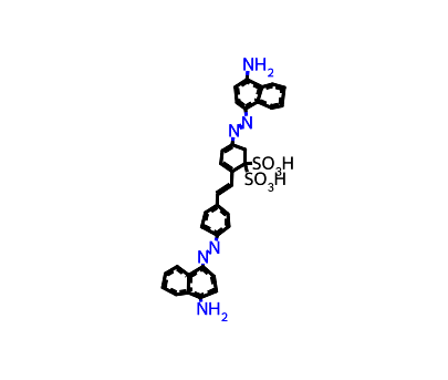 Nc1ccc(N=NC2=CC=C(C=Cc3ccc(N=Nc4ccc(N)c5ccccc45)cc3)C(S(=O)(=O)O)(S(=O)(=O)O)C2)c2ccccc12